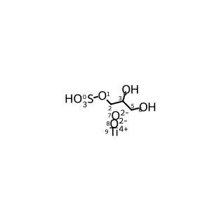 O=S(=O)(O)OCC(O)CO.[O-2].[O-2].[Ti+4]